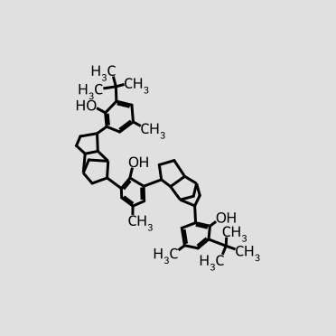 Cc1cc(C2CC3CC2C2C(c4cc(C)cc(C(C)(C)C)c4O)CCC32)c(O)c(C2CCC3C4CC(c5cc(C)cc(C(C)(C)C)c5O)C(C4)C23)c1